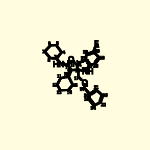 O=C(NC1CCCCC1)C(C1CCCCC1)C1(COCc2ccccc2)Nc2ccc(F)cc2N1